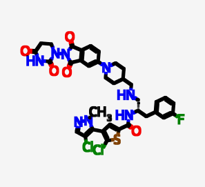 Cn1ncc(Cl)c1-c1cc(C(=O)N[C@H](CNCC2CCN(c3ccc4c(c3)C(=O)N(N3CCC(=O)NC3=O)C4=O)CC2)Cc2cccc(F)c2)sc1Cl